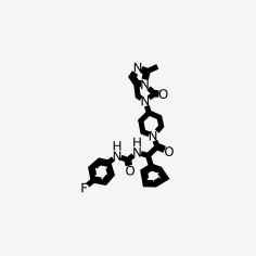 Cc1ncc2n1C(=O)N(C1CCN(C(=O)C(NC(=O)Nc3ccc(F)cc3)c3ccccc3)CC1)C2